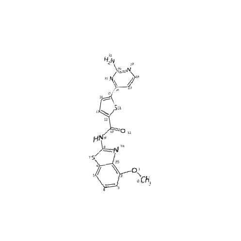 COc1cccc2sc(NC(=O)c3ccc(-c4ccnc(N)n4)s3)nc12